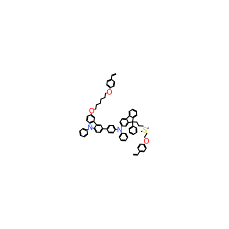 C=Cc1ccc(OCCCCCCOc2ccc3c(c2)c2cc(-c4ccc(N(c5ccccc5)c5ccc6c(c5)C(CCCS(C)(C)CCOc5ccc(C=C)cc5)(c5ccccc5)c5ccccc5-6)cc4)ccc2n3-c2ccccc2)cc1